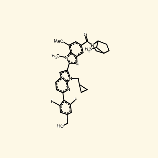 COc1cc(C(=O)N2CC3CCC2C3N)cc2nc(-c3cc4ccc(-c5c(F)cc(CO)cc5F)nc4n3CC3CC3)n(C)c12